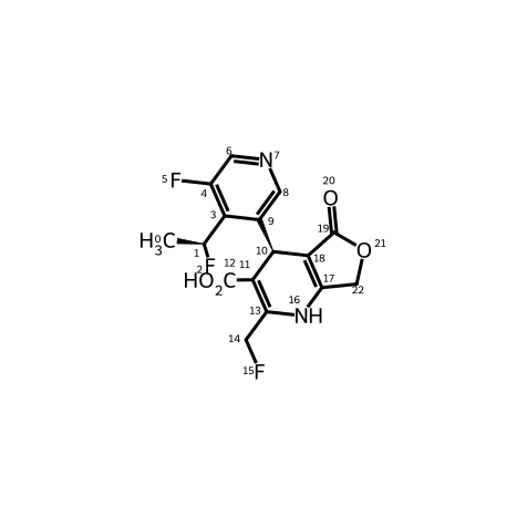 C[C@H](F)c1c(F)cncc1[C@@H]1C(C(=O)O)=C(CF)NC2=C1C(=O)OC2